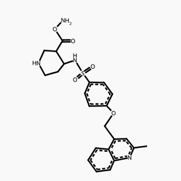 Cc1cc(COc2ccc(S(=O)(=O)NC3CCNCC3C(=O)ON)cc2)c2ccccc2n1